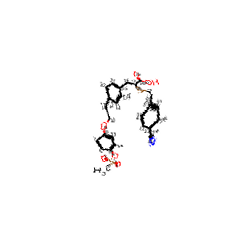 CS(=O)(=O)Oc1ccc(OCCc2ccc(CC(SCc3ccc(C#N)cc3)C(=O)O)cc2)cc1